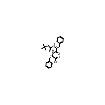 CC(C)(C)OC(=O)N[C@@H](Cc1ccccc1)C(=O)N[C@@H](Cc1ccccc1)C(=O)O